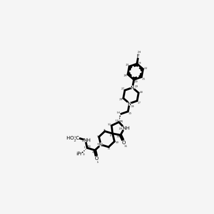 CC(C)[C@H](NC(=O)O)C(=O)N1CCC2(CC1)C[C@H](CCN1CCN(c3ccc(F)cc3)CC1)NC2=O